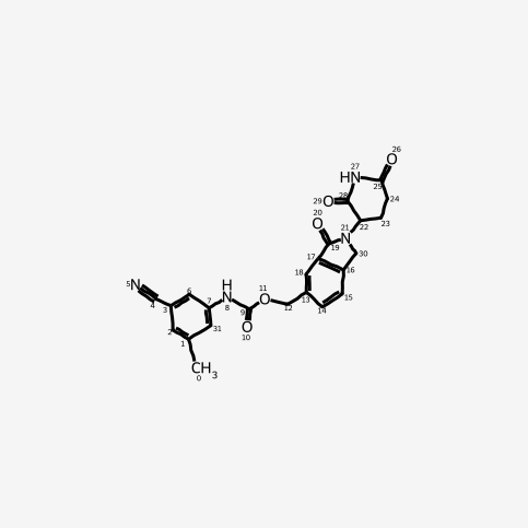 Cc1cc(C#N)cc(NC(=O)OCc2ccc3c(c2)C(=O)N(C2CCC(=O)NC2=O)C3)c1